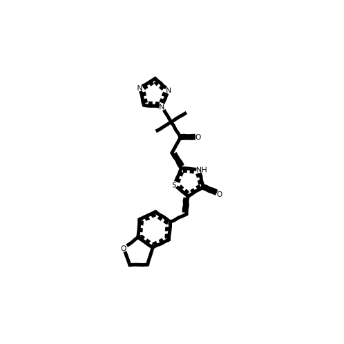 CC(C)(C(=O)/C=c1\[nH]c(=O)/c(=C/c2ccc3c(c2)CCO3)s1)n1cncn1